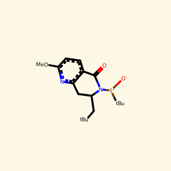 COc1ccc2c(n1)CC(CC(C)(C)C)N([S+]([O-])C(C)(C)C)C2=O